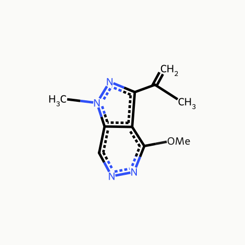 C=C(C)c1nn(C)c2cnnc(OC)c12